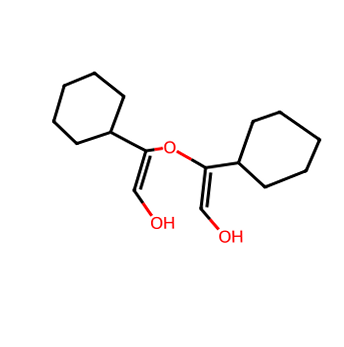 OC=C(OC(=CO)C1CCCCC1)C1CCCCC1